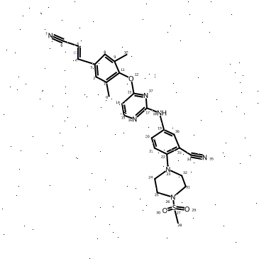 Cc1cc(/C=C/C#N)cc(C)c1Oc1ccnc(Nc2ccc(N3CCN(S(C)(=O)=O)CC3)c(C#N)c2)n1